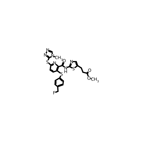 COC(=O)CCc1cnc(NC(=O)c2nc(Sc3nncn3C)ccc2Sc2ccc(CF)cc2)s1